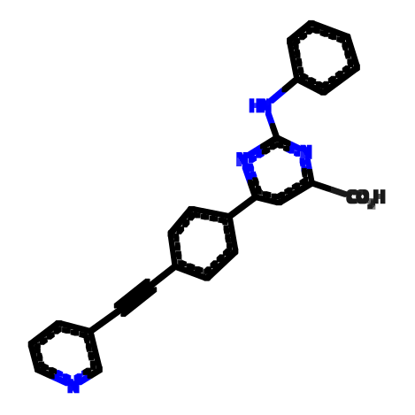 O=C(O)c1cc(-c2ccc(C#Cc3cccnc3)cc2)nc(Nc2ccccc2)n1